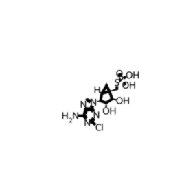 Nc1nc(Cl)nc2c1ncn2[C@H]1[C@H](O)[C@H](O)[C@@]2(CSP(=O)(O)O)C[C@H]12